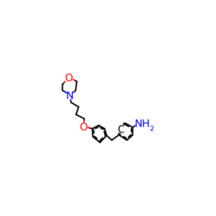 Nc1ccc(Cc2ccc(OCCCCN3CCOCC3)cc2)cc1